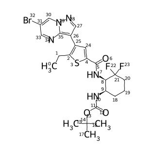 CCc1sc(C(=O)N[C@@H]2[C@H](NC(=O)OC(C)(C)C)CCCC2(F)F)cc1-c1cnn2cc(Br)cnc12